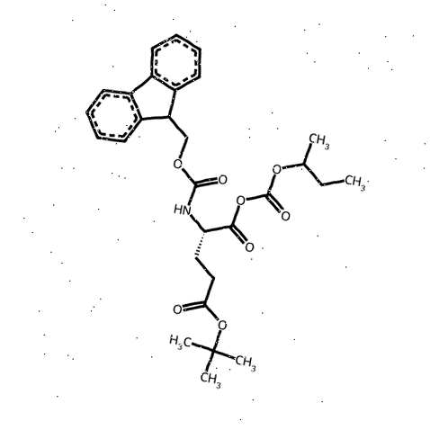 CCC(C)OC(=O)OC(=O)[C@H](CCC(=O)OC(C)(C)C)NC(=O)OCC1c2ccccc2-c2ccccc21